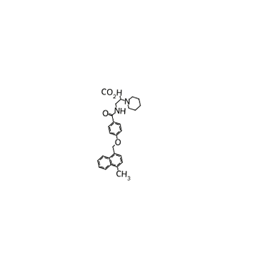 Cc1ccc(COc2ccc(C(=O)NCC(C(=O)O)N3CCCCC3)cc2)c2ccccc12